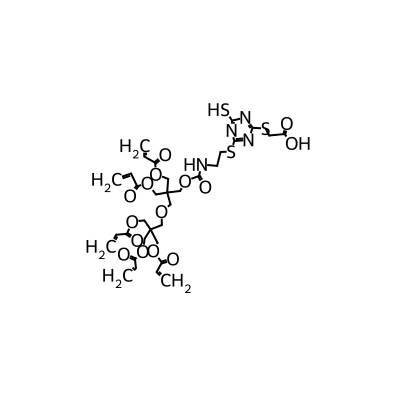 C=CC(=O)OCC(COCC(COC(=O)C=C)(COC(=O)C=C)COC(=O)NCCSc1nc(S)nc(SCC(=O)O)n1)(COC(=O)C=C)COC(=O)C=C